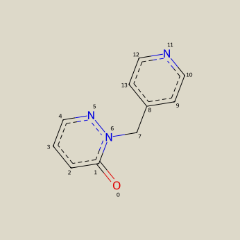 O=c1cccnn1Cc1ccncc1